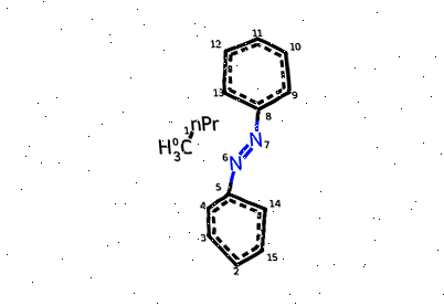 CCCC.c1ccc(/N=N/c2ccccc2)cc1